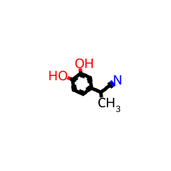 CC(C#N)c1ccc(O)c(O)c1